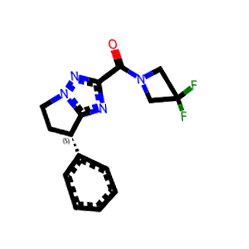 O=C(c1nc2n(n1)CC[C@H]2c1ccccc1)N1CC(F)(F)C1